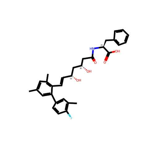 Cc1cc(C)c(C=C[C@@H](O)C[C@@H](O)CC(=O)N[C@@H](Cc2ccccc2)C(=O)O)c(-c2ccc(F)c(C)c2)c1